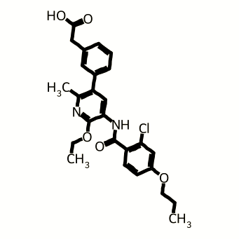 CCCOc1ccc(C(=O)Nc2cc(-c3cccc(CC(=O)O)c3)c(C)nc2OCC)c(Cl)c1